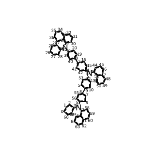 c1ccc(N(c2ccc(-c3ccc(N(c4ccc(-c5ccc(N(c6ccccc6)c6cccc7ccccc67)cc5)cc4)c4cccc5ccccc45)cc3)cc2)c2cccc3ccccc23)cc1